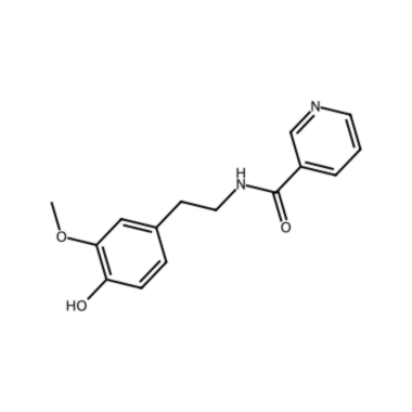 COc1cc(CCNC(=O)c2cccnc2)ccc1O